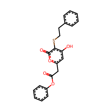 O=C(Cc1cc(O)c(SCCc2ccccc2)c(=O)o1)Oc1ccccc1